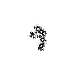 C=CC(=O)NCCN1C[C@@H]2CC2Oc2cc3ncnc(Nc4ccc(Oc5ccn6ncnc6c5)c(C)c4)c3cc21